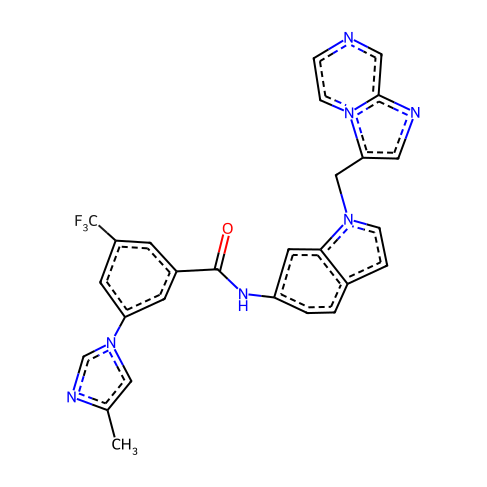 Cc1cn(-c2cc(C(=O)Nc3ccc4ccn(Cc5cnc6cnccn56)c4c3)cc(C(F)(F)F)c2)cn1